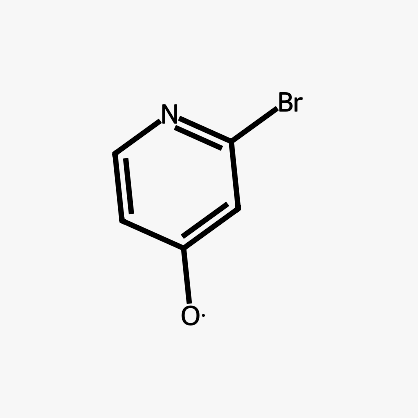 [O]c1ccnc(Br)c1